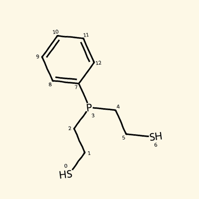 SCCP(CCS)c1ccccc1